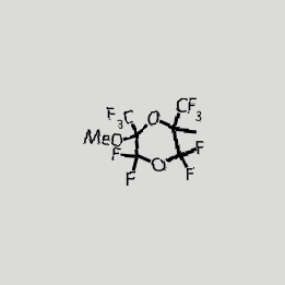 COC1(C(F)(F)F)OC(C)(C(F)(F)F)C(F)(F)OC1(F)F